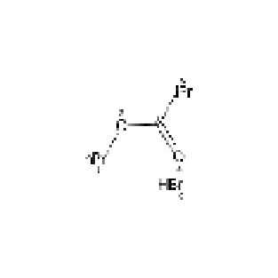 Br.CCCOC(=O)C(C)C